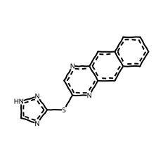 c1ccc2cc3nc(Sc4nc[nH]n4)cnc3cc2c1